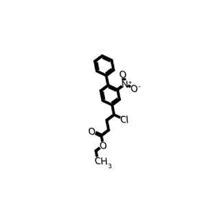 CCOC(=O)CCC(Cl)c1ccc(-c2ccccc2)c([N+](=O)[O-])c1